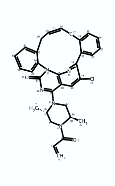 C=CC(=O)N1C[C@H](C)N(c2nc(=O)n3c4nc(c(Cl)cc24)-c2ccccc2C/C=C\Cc2ccccc2-3)C[C@H]1C